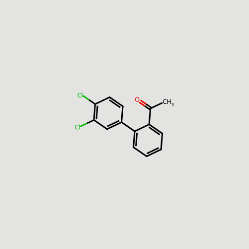 CC(=O)c1ccccc1-c1ccc(Cl)c(Cl)c1